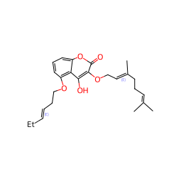 CC/C=C/CCOc1cccc2oc(=O)c(OC/C=C(\C)CCC=C(C)C)c(O)c12